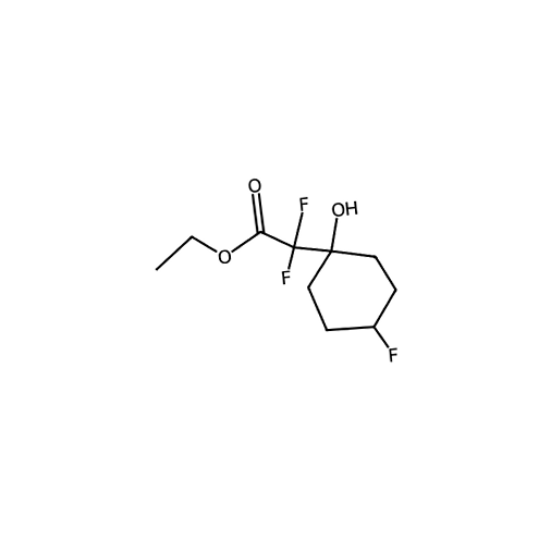 CCOC(=O)C(F)(F)C1(O)CCC(F)CC1